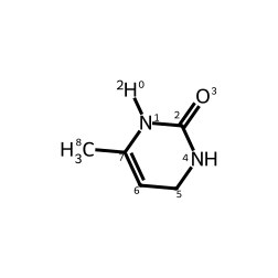 [2H]N1C(=O)NCC=C1C